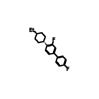 CC[C@H]1CC[C@H](c2ccc(-c3ccc(F)cc3)cc2F)CC1